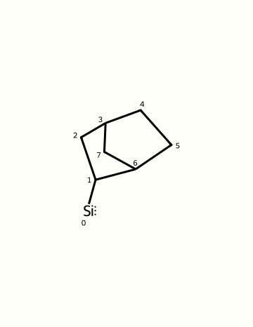 [Si]C1CC2CCC1C2